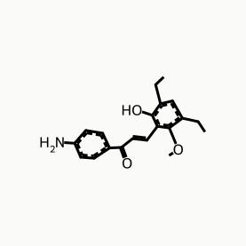 CCc1cc(CC)c(OC)c(C=CC(=O)c2ccc(N)cc2)c1O